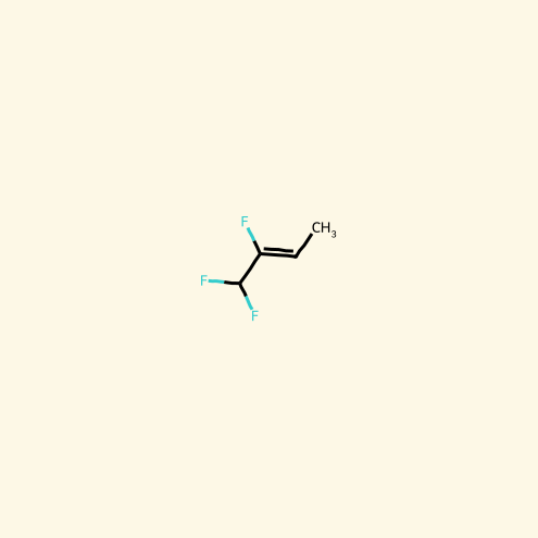 CC=C(F)C(F)F